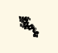 CC(=O)N(CC(=O)OC(C)(C)C)c1ccc(C=CC(=O)O)cc1